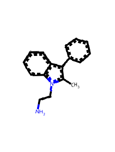 Cc1c(-c2ccccc2)c2ccccc2n1CCN